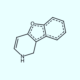 C1=Cc2oc3ccccc3c2CN1